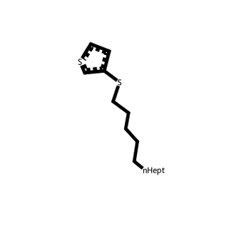 CCCCCCCCCCCCSc1ccsc1